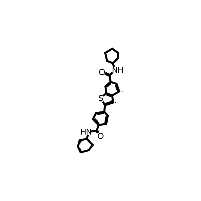 O=C(NC1CCCCC1)c1ccc(-c2[c]c3[c]cc(C(=O)NC4CCCCC4)cc3s2)cc1